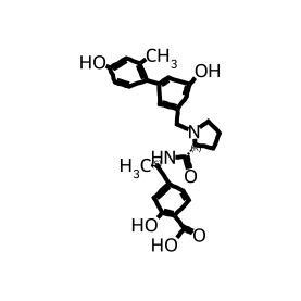 Cc1cc(O)ccc1-c1cc(O)cc(CN2CCC[C@@H]2C(=O)N[C@@H](C)c2ccc(C(=O)O)c(O)c2)c1